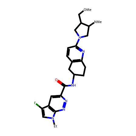 CCn1cc(F)c2cc(C(=O)NC3CCc4nc(N5CC(COC)C(NC)C5)ccc4C3)nnc21